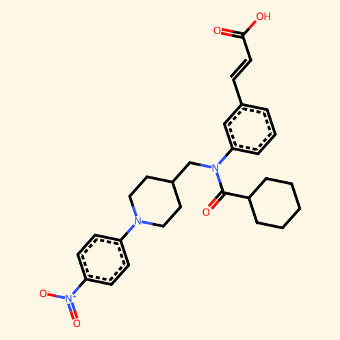 O=C(O)C=Cc1cccc(N(CC2CCN(c3ccc([N+](=O)[O-])cc3)CC2)C(=O)C2CCCCC2)c1